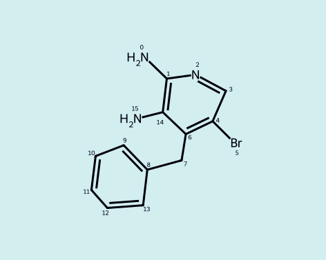 Nc1ncc(Br)c(Cc2ccccc2)c1N